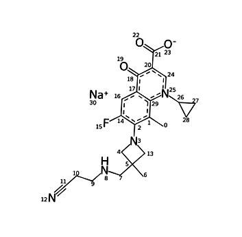 Cc1c(N2CC(C)(CNCCC#N)C2)c(F)cc2c(=O)c(C(=O)[O-])cn(C3CC3)c12.[Na+]